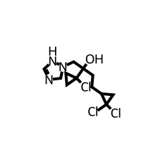 OC(CCC1CC1(Cl)Cl)(CN1CN=CN1)C1(Cl)CC1